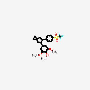 COc1cc(C2=CC3(C=C2c2ccc(S(=O)(=O)C(F)(F)F)cc2)CC3)cc(OC)c1OC